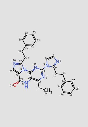 CCc1nc(-n2ccnc2CCc2ccccc2)nc2c1[nH]c(=O)c1cnc(CCc3ccccc3)n12